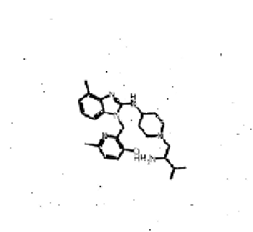 Cc1ccc(O)c(Cn2c(NC3CCN(CC(N)C(C)C)CC3)nc3c(C)cccc32)n1